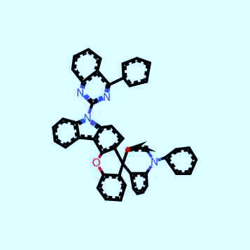 c1ccc(-c2nc(-n3c4ccccc4c4c5c(ccc43)C3(c4ccccc4O5)c4ccccc4N(c4ccccc4)c4ccccc43)nc3ccccc23)cc1